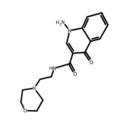 Nn1cc(C(=O)NCCN2CCOCC2)c(=O)c2ccccc21